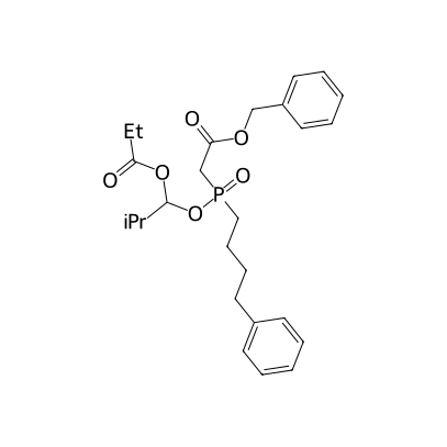 CCC(=O)OC(OP(=O)(CCCCc1ccccc1)CC(=O)OCc1ccccc1)C(C)C